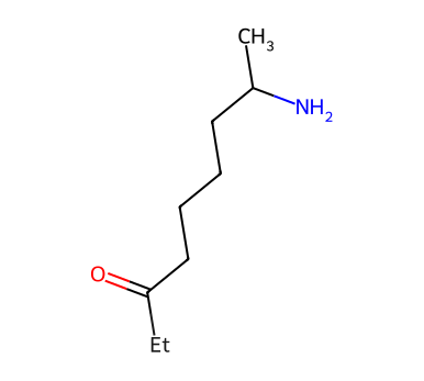 CCC(=O)CCCCC(C)N